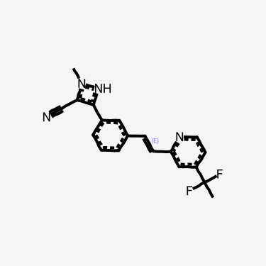 Cn1[nH]c(-c2cccc(/C=C/c3cc(C(C)(F)F)ccn3)c2)c1C#N